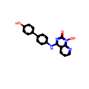 O=c1nc(Nc2ccc(-c3ccc(O)cc3)cc2)c2cccnc2n1O